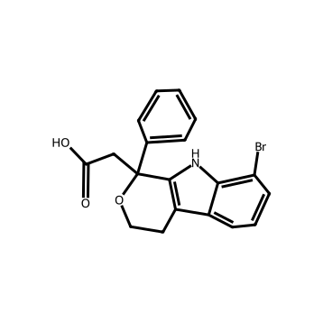 O=C(O)CC1(c2ccccc2)OCCc2c1[nH]c1c(Br)cccc21